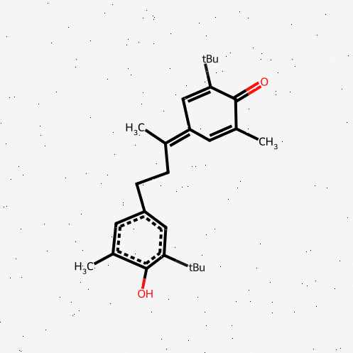 CC1=CC(=C(C)CCc2cc(C)c(O)c(C(C)(C)C)c2)C=C(C(C)(C)C)C1=O